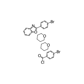 Brc1ccc(-c2nc3ccccc3o2)cc1.C1CCOCC1.C1CCOCC1.O=C(Cl)c1ccc(Br)cc1